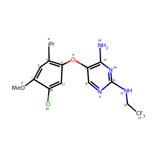 COc1cc(C(C)C)c(Oc2cnc(NCC(F)(F)F)nc2N)cc1Cl